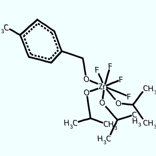 Cc1ccc(C[O][Zr]([F])([F])([F])([F])([O]C(C)C)([O]C(C)C)[O]C(C)C)cc1